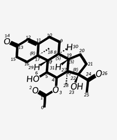 CC(=O)OC1C(O)[C@H]2[C@@H](CCC3=CC(=O)CC[C@@]32C)[C@@H]2CC[C@](O)(C(C)=O)[C@@]12C